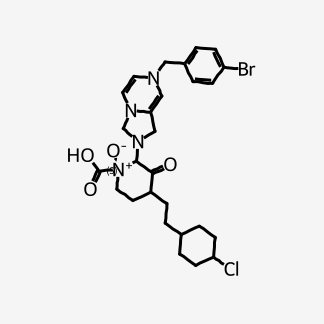 O=C1C(CCC2CCC(Cl)CC2)CC[N@@+]([O-])(C(=O)O)C1N1CC2=CN(Cc3ccc(Br)cc3)C=CN2C1